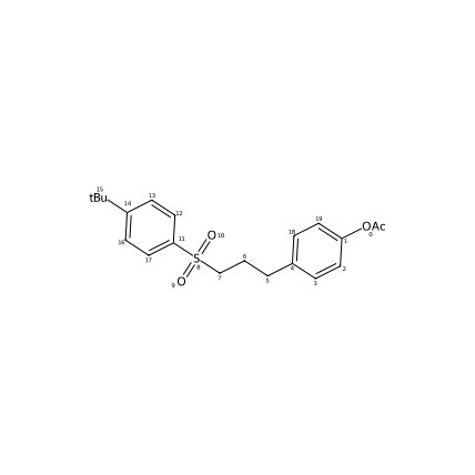 CC(=O)Oc1ccc(CCCS(=O)(=O)c2ccc(C(C)(C)C)cc2)cc1